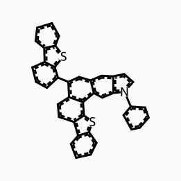 c1ccc(-n2ccc3cc4cc(-c5cccc6c5sc5ccccc56)c5ccc6c7ccccc7sc6c5c4cc32)cc1